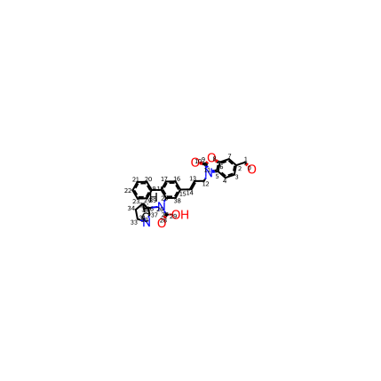 O=Cc1ccc2c(c1)oc(=O)n2CC=Cc1ccc(-c2ccccc2)c(N(C(=O)O)[C@H]2CN3CCC2CC3)c1